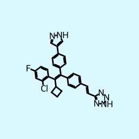 Fc1ccc(C(=C(c2ccc(C=Cc3nn[nH]n3)cc2)c2ccc(-c3cn[nH]c3)cc2)C2CCC2)c(Cl)c1